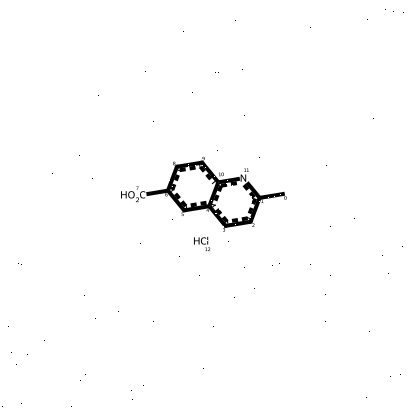 Cc1ccc2cc(C(=O)O)ccc2n1.Cl